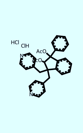 CC(=O)OC1C(Cc2ccncc2)(Cc2ccncc2)c2ccccc2C1(OC(C)=O)c1ccccc1.Cl.Cl